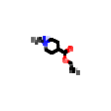 [CH2-][NH+]1CCC(C(=O)OCC)CC1